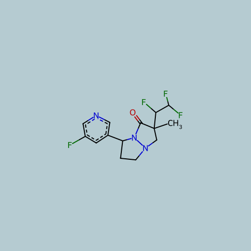 CC1(C(F)C(F)F)CN2CCC(c3cncc(F)c3)N2C1=O